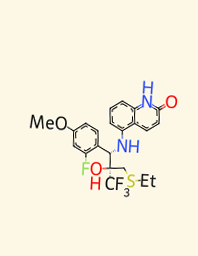 CCSC[C@@](O)([C@@H](Nc1cccc2[nH]c(=O)ccc12)c1ccc(OC)cc1F)C(F)(F)F